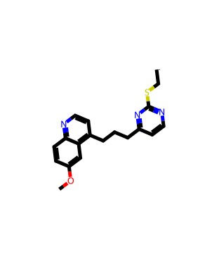 [CH2]CSc1nccc(CCCc2ccnc3ccc(OC)cc23)n1